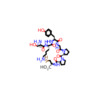 NCCCC[C@H](NC(=O)[C@@H](N)CO)C(=O)N[C@@H](Cc1ccc(O)cc1)C(=O)NCC(=O)N1CCC[C@H]1C(=O)N1CCC[C@H]1C(=O)N[C@@H](CS)C(=O)O